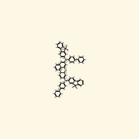 CC1(C)c2ccccc2-c2ccc(N(C3=CC4Oc5cc(N(c6ccc(-c7ccccc7)cc6)c6ccc7c(c6)C(C)(C)c6ccccc6-7)cc6cccc(c56)C4C=C3)c3ccc(-c4ccccc4)cc3)cc21